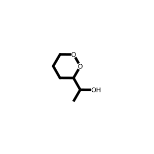 CC(O)C1CCCOO1